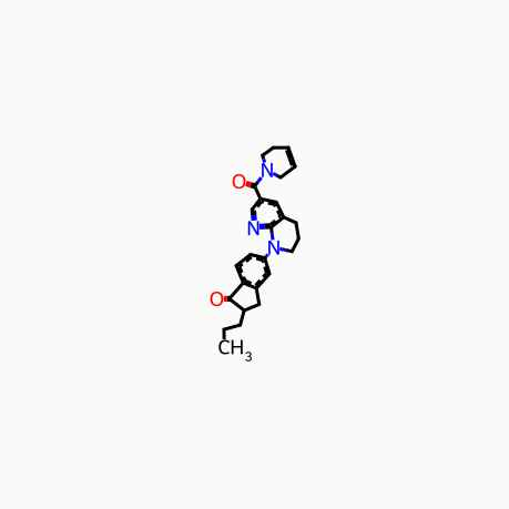 CCCC1Cc2cc(N3CCCc4cc(C(=O)N5CC=CCC5)cnc43)ccc2C1=O